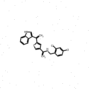 C=C(NCc1ccc(Cl)cc1Cl)c1csc(C(=C)c2c[nH]c3ccccc23)c1